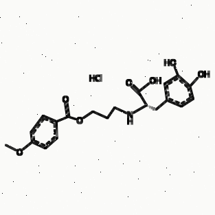 COc1ccc(C(=O)OCCCN[C@@H](Cc2ccc(O)c(O)c2)C(=O)O)cc1.Cl